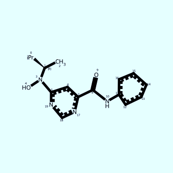 CC(C)[C@@H](C)N(O)c1cc(C(=O)Nc2ccccc2)ncn1